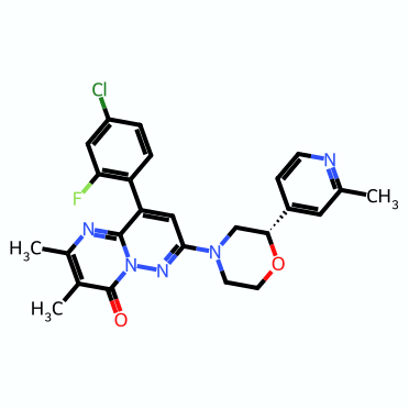 Cc1cc([C@H]2CN(c3cc(-c4ccc(Cl)cc4F)c4nc(C)c(C)c(=O)n4n3)CCO2)ccn1